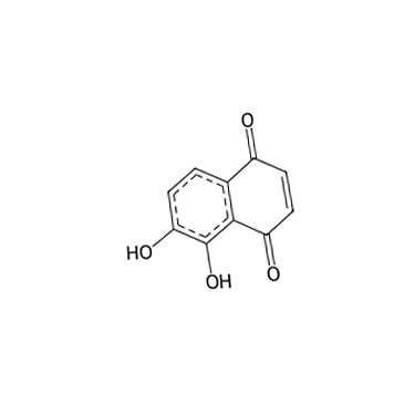 O=C1C=CC(=O)c2c1ccc(O)c2O